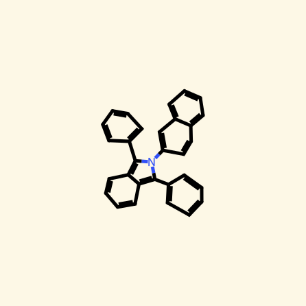 c1ccc(-c2c3ccccc3c(-c3ccccc3)n2-c2ccc3ccccc3c2)cc1